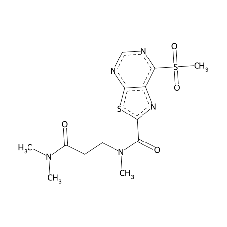 CN(C)C(=O)CCN(C)C(=O)c1nc2c(S(C)(=O)=O)ncnc2s1